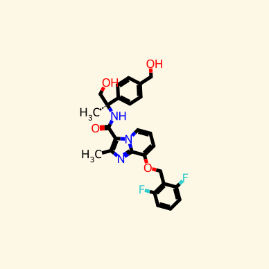 Cc1nc2c(OCc3c(F)cccc3F)cccn2c1C(=O)N[C@@](C)(CO)c1ccc(CO)cc1